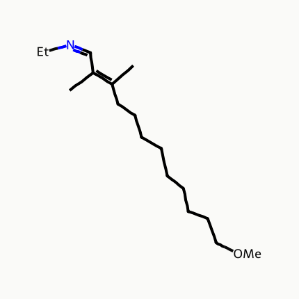 CC/N=C\C(C)=C(/C)CCCCCCCCCOC